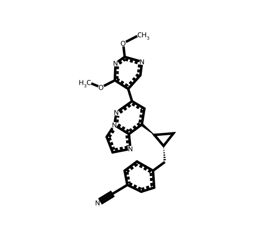 COc1ncc(-c2cc([C@H]3C[C@@H]3Cc3ccc(C#N)cc3)c3nccn3n2)c(OC)n1